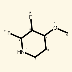 COC1CCNC(F)C1F